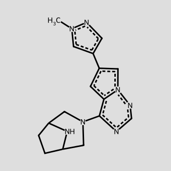 Cn1cc(-c2cc3c(N4CC5CCC(C4)N5)ncnn3c2)cn1